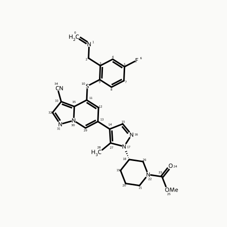 C=NCc1cc(F)ccc1Sc1cc(-c2cnn([C@H]3CCCN(C(=O)OC)C3)c2C)cn2ncc(C#N)c12